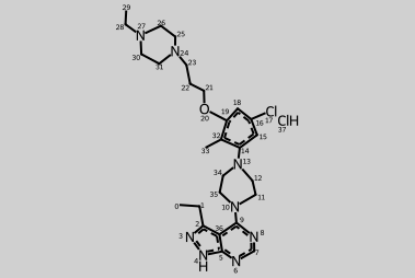 CCc1n[nH]c2ncnc(N3CCN(c4cc(Cl)cc(OCCCN5CCN(CC)CC5)c4C)CC3)c12.Cl